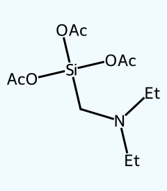 CCN(CC)C[Si](OC(C)=O)(OC(C)=O)OC(C)=O